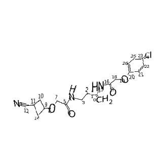 C=C(CCNC(=O)COC1CC(C#N)C1)NC(=O)COc1ccc(Cl)cc1